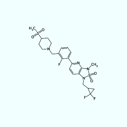 CN1c2nc(-c3cccc(CN4CCC(S(C)(=O)=O)CC4)c3F)ccc2N(CC2CC2(F)F)S1(=O)=O